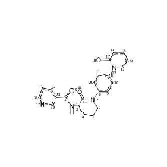 O=C(NC1CCCN(c2ccc(-n3ccccc3=O)cc2)C1=O)c1cccnc1